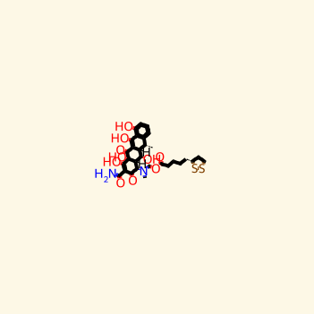 C[C@H]1c2cccc(O)c2C(O)=C2C(=O)[C@]3(O)C(O)=C(C(N)=O)C(=O)[C@@H](N(C)COC(=O)CCCC[C@@H]4CCSS4)[C@@H]3[C@@H](O)[C@@H]21